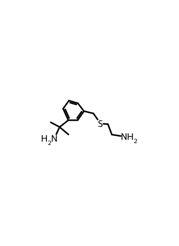 CC(C)(N)c1cccc(CSCCN)c1